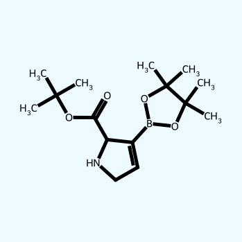 CC(C)(C)OC(=O)C1NCC=C1B1OC(C)(C)C(C)(C)O1